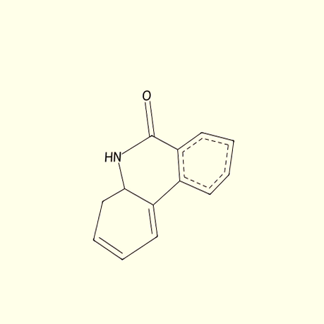 O=C1NC2CC=CC=C2c2ccccc21